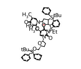 CCP(OC1OC(n2cc(C)c(=O)[nH]c2=O)CC1[Si](c1ccccc1)(c1ccccc1)C(C)(C)C)n1c(=O)c(C)cn([C@H]2CC[C@@H](CO[Si](c3ccccc3)(c3ccccc3)C(C)(C)C)O2)c1=O